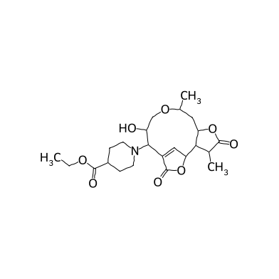 CCOC(=O)C1CCN(C2C3=CC(OC3=O)C3C(CC(C)OCC2O)OC(=O)C3C)CC1